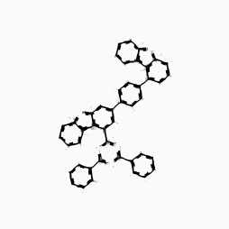 c1ccc(-c2nc(-c3ccccc3)nc(-c3cc(-c4ccc(-c5cccc6oc7ccccc7c56)cc4)cc4oc5ccccc5c34)n2)cc1